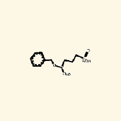 O=CN(CCC[PH](=O)O)OCc1ccccc1